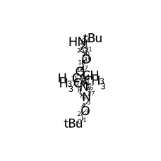 CC(C)(C)CCOCCN1CCN(C(C)(C)C(C)(C)OCCO[C@H]2C[C@@H](NC(C)(C)C)C2)CC1